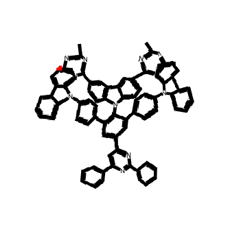 Cc1nc(C)nc(-c2ccc3c(c2)c2cc(-c4nc(C)nc(C)n4)ccc2n3-c2c(-c3ccc(-n4c5ccccc5c5ccccc54)cc3)cc(-c3cc(-c4ccccc4)nc(-c4ccccc4)n3)cc2-c2ccc(-n3c4ccccc4c4ccccc43)cc2)n1